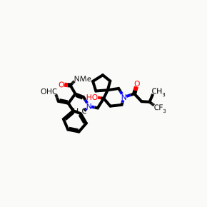 CNC(=O)C(=C/N(C)CC1(O)CCN(C(=O)CC(C)C(F)(F)F)CC12CCCC2)/C(=C\C=O)c1ccccc1